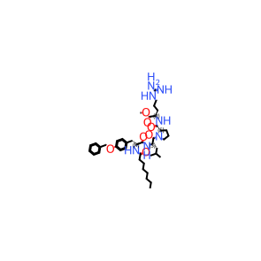 CCCCCCCC(=O)N[C@H](Cc1ccc(OCc2ccccc2)cc1)C(=O)N[C@@H](CC(C)C)C(=O)N1CCC[C@H]1C(=O)N[C@H](CCCNC(=N)N)C(=O)OC